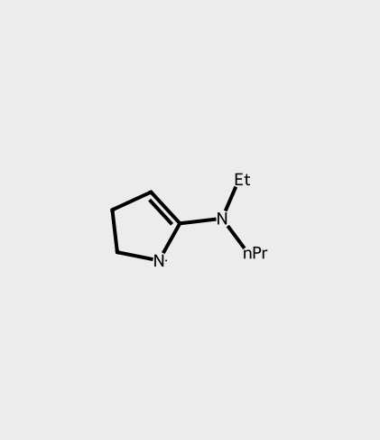 CCCN(CC)C1=CCC[N]1